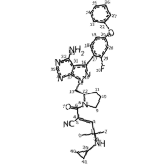 CC(C)(C=C(C#N)C(=O)N1CCC[C@@H]1Cn1nc(-c2ccc(Oc3ccccc3)cc2F)c2c(N)ncnc21)NC1CC1